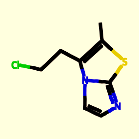 Cc1sc2nccn2c1CCCl